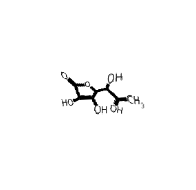 CC(O)C(O)C1OC(=O)C(O)=C1O